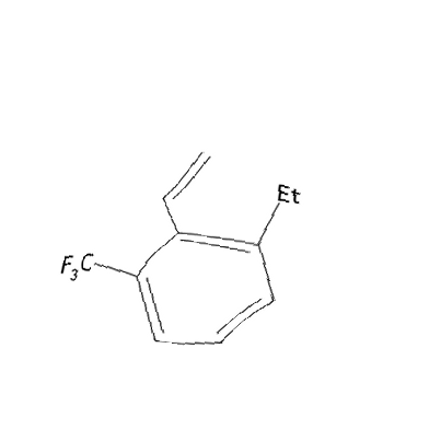 C=Cc1c(CC)cccc1C(F)(F)F